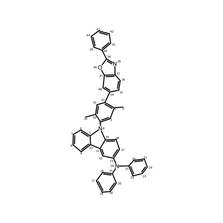 Cc1cc(-n2c3ccccc3c3cc(N(c4ccccc4)c4ccccc4)ccc32)c(C)cc1-c1ccc2nc(-c3ccccc3)oc2c1